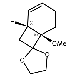 CO[C@]12CCC=C[C@H]1CC21OCCO1